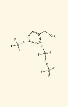 CCc1ccccc1.F[B-](F)(F)F.F[B-](F)(F)F.F[B-](F)(F)F